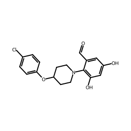 O=Cc1cc(O)cc(O)c1N1CCC(Oc2ccc(Cl)cc2)CC1